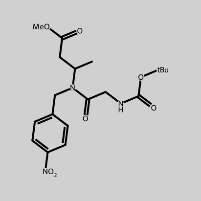 COC(=O)CC(C)N(Cc1ccc([N+](=O)[O-])cc1)C(=O)CNC(=O)OC(C)(C)C